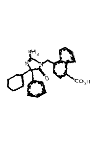 NC1=NC(c2ccccc2)(C2CCCCC2)C(=O)N1Cc1ccc(C(=O)O)c2ccccc12